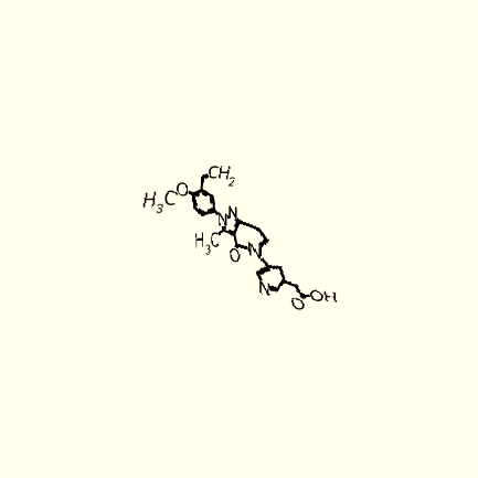 C=Cc1cc(-n2nc3c(c2C)C(=O)N(C2=CN=CC(CC(=O)O)C2)CC3)ccc1OC